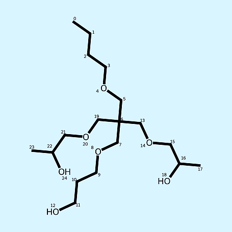 CCCCOCC(COCCCO)(COCC(C)O)COCC(C)O